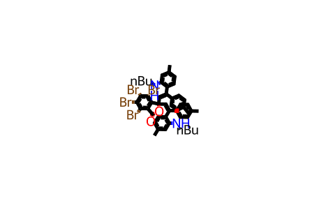 CCCCNc1cc(C)ccc1C(=CC1(C=C(c2ccc(C)cc2)c2ccc(C)cc2NCCCC)OC(=O)c2c(Br)c(Br)c(Br)c(Br)c21)c1ccc(C)cc1